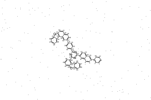 c1ccc(-c2ccc3cc(-c4nc(-c5ccc(-c6ccc7ccc8oc9ccccc9c8c7c6)cc5)nc(-c5cccc6oc7ccccc7c56)n4)ccc3c2)cc1